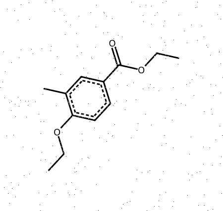 CCOC(=O)c1ccc(OCC)c(C)c1